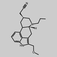 CCCN1C[C@H](CC#N)CC2c3cccc4[nH]c(COC)c(c34)C[C@H]21